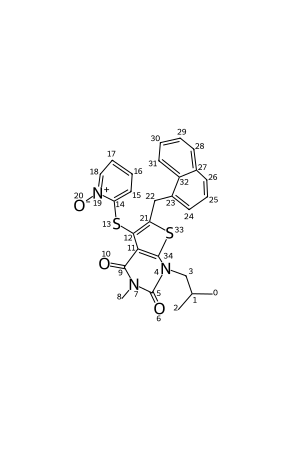 CC(C)Cn1c(=O)n(C)c(=O)c2c(Sc3cccc[n+]3[O-])c(Cc3cccc4ccccc34)sc21